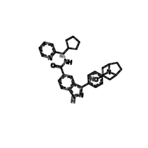 O=C(N[C@H](c1ccccn1)C1CCCC1)c1ccc2[nH]nc(-c3ccc(N4C5CCC4CC(O)C5)cc3)c2c1